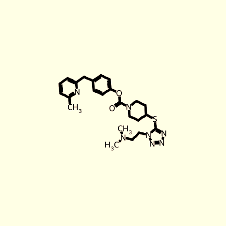 Cc1cccc(Cc2ccc(OC(=O)N3CCC(Sc4nnnn4CCN(C)C)CC3)cc2)n1